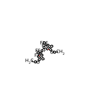 C=Cc1ccc(Oc2ccc(C3(c4ccc(F)cc4)c4ccccc4-c4ccc(N(c5ccc(-c6ccc(N(c7ccc8c(c7)C(c7ccc(F)cc7)(c7ccc(Oc9ccc(C=C)cc9)cc7)c7ccccc7-8)c7c(F)ccc(F)c7F)cc6)cc5)c5c(F)ccc(F)c5F)cc43)cc2)cc1